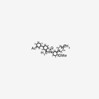 COc1ccc(NC(=O)c2ccc(-c3cccc(C(C)=O)c3)cc2C)cc1N1CCN(C)CC1